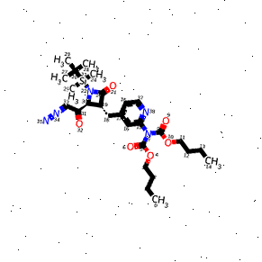 CCCCOC(=O)N(C(=O)OCCCC)c1cc(C[C@H]2C(=O)N([Si](C)(C)C(C)(C)C)[C@@H]2C(=O)C=[N+]=[N-])ccn1